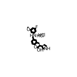 COc1cc(F)cc(NCc2cccc(C[C@H](C(=O)O)[C@H]3CCNC3)c2)c1.Cl.Cl